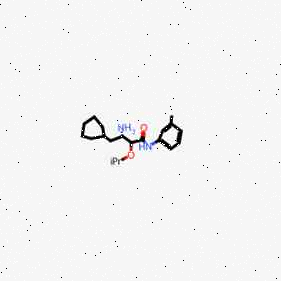 Cc1cccc(NC(=O)C(OC(C)C)[C@H](N)CC2CCCCC2)c1